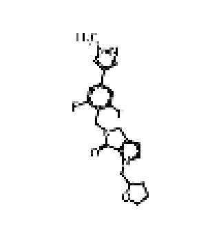 Cn1cc(-c2cc(F)c(CN3Cc4ccn(CC5CCCO5)c4C3=O)c(F)c2)cn1